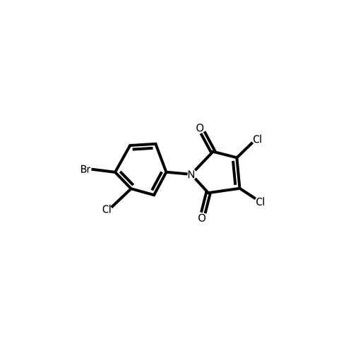 O=C1C(Cl)=C(Cl)C(=O)N1c1ccc(Br)c(Cl)c1